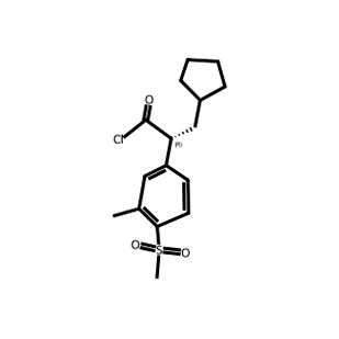 Cc1cc([C@@H](CC2CCCC2)C(=O)Cl)ccc1S(C)(=O)=O